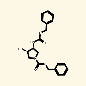 O=C(N[C@H]1CN(C(=O)OCc2ccccc2)C[C@H]1O)OCc1ccccc1